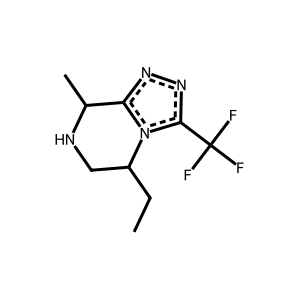 CCC1CNC(C)c2nnc(C(F)(F)F)n21